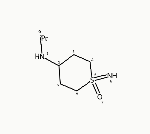 CC(C)NC1CCS(=N)(=O)CC1